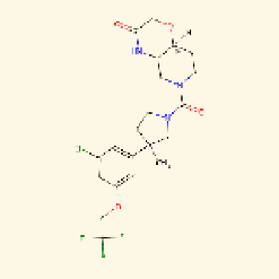 CC1(c2cc(Cl)cc(OCC(F)(F)F)c2)CCN(C(=O)N2CC[C@@H]3OCC(=O)NC3C2)C1